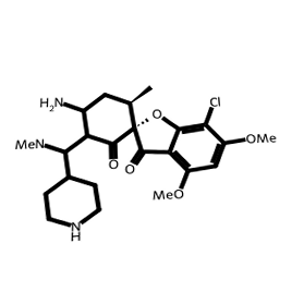 CNC(C1CCNCC1)C1C(=O)[C@@]2(Oc3c(Cl)c(OC)cc(OC)c3C2=O)[C@H](C)CC1N